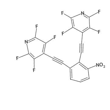 O=[N+]([O-])c1cccc(C#Cc2c(F)c(F)nc(F)c2F)c1C#Cc1c(F)c(F)nc(F)c1F